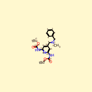 CN(Cc1ccccc1)Cc1cc(NC(=O)OC(C)(C)C)nc(NC(=O)OC(C)(C)C)c1